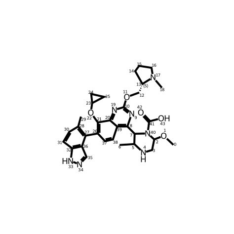 COC1CNC(C)C(c2nc(OC[C@@H]3CCCN3C)nc3c(OC4CC4)c(-c4c(C)ccc5[nH]ncc45)ccc23)N1C(=O)O